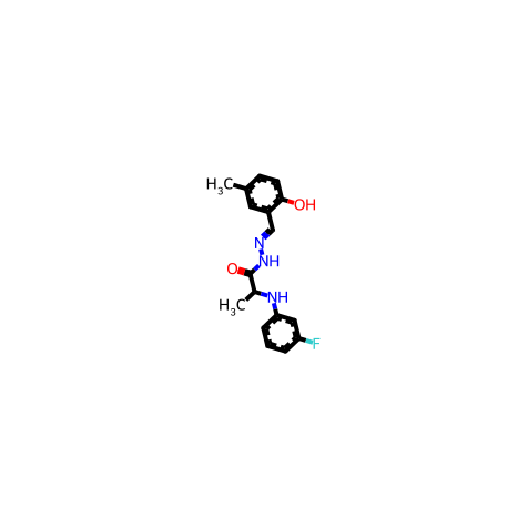 Cc1ccc(O)c(C=NNC(=O)C(C)Nc2cccc(F)c2)c1